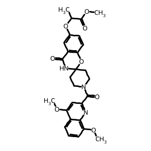 COC(=O)C(C)Oc1ccc2c(c1)C(=O)NC1(CCN(C(=O)c3cc(OC)c4cccc(OC)c4n3)CC1)O2